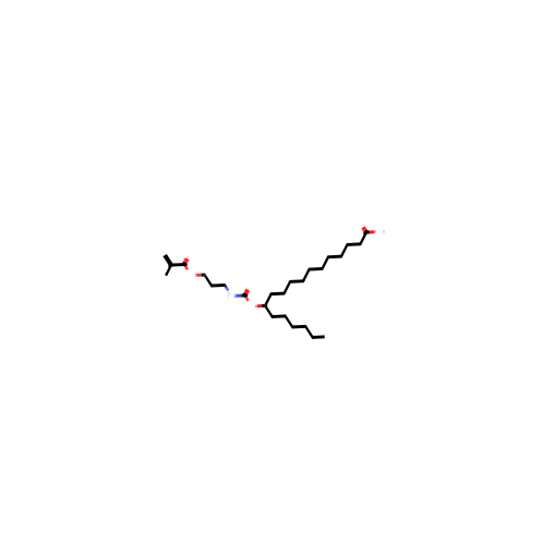 C=C(C)C(=O)OCCCNC(=O)OC(CCCCCC)CCCCCCCCCCC(=O)O